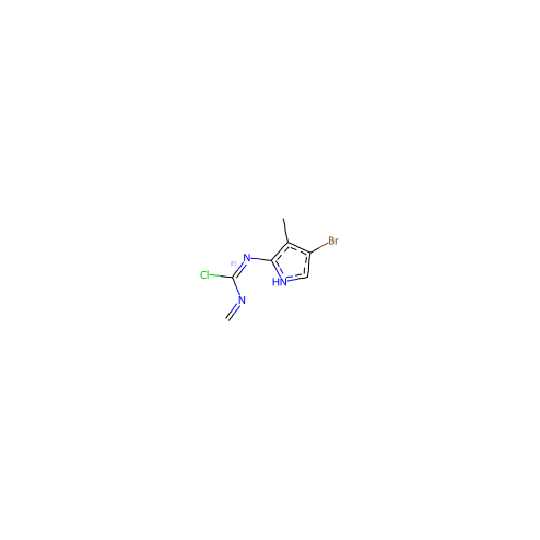 C=N/C(Cl)=N\c1[nH]cc(Br)c1C